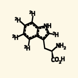 [2H]c1[nH]c2c([2H])c([2H])c([2H])c([2H])c2c1C[C@@H](N)C(=O)O